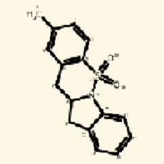 Cc1ccc2c(c1)CC1Cc3ccccc3N1S2(=O)=O